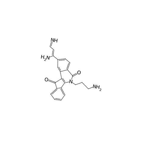 N=C/C=C(\N)c1ccc2c(=O)n(CCCN)c3c(c2c1)C(=O)c1ccccc1-3